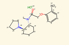 CN(C(=O)COc1ccccc1[N+](=O)[O-])[C@@H]1CCCC[C@H]1N1CCCC1.Cl